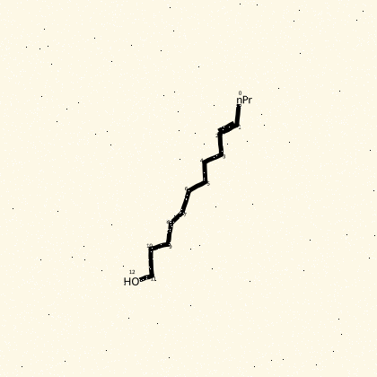 CCC/C=C/CCCCCCCCCO